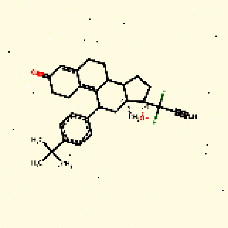 C#CC(F)(F)[C@]1(O)CCC2C3CCC4=CC(=O)CCC4=C3C(c3ccc(C(C)(C)C)cc3)C[C@@]21C